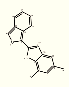 Cc1cc(C)c2oc(-c3occ4ccccc34)nc2c1